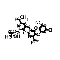 CC(F)c1cc(Cn2cnc(C(F)F)c(Oc3cc(Cl)cc(C#N)c3)c2=O)c(=O)n(COP(=O)(O)O)n1